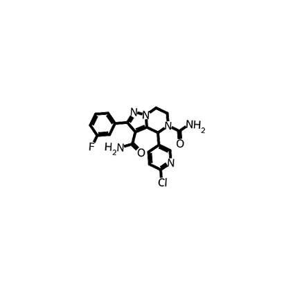 NC(=O)c1c(-c2cccc(F)c2)nn2c1C(c1ccc(Cl)nc1)N(C(N)=O)CC2